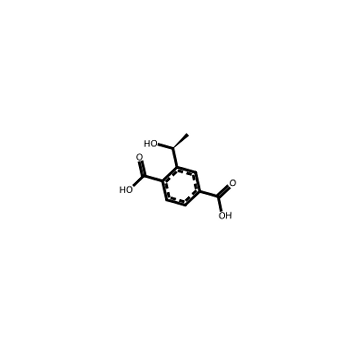 C[C@H](O)c1cc(C(=O)O)ccc1C(=O)O